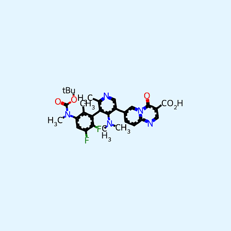 Cc1ncc(-c2ccc3ncc(C(=O)O)c(=O)n3c2)c(N(C)C)c1-c1c(C)c(N(C)C(=O)OC(C)(C)C)cc(F)c1F